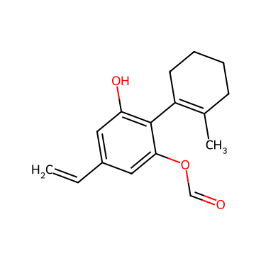 C=Cc1cc(O)c(C2=C(C)CCCC2)c(OC=O)c1